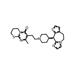 Cc1nc2n(c(=O)c1CCN1CCC(=C3c4sccc4CCn4ccnc43)CC1)CCCS2